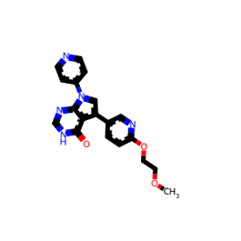 COCCOc1ccc(-c2cn(-c3ccncc3)c3nc[nH]c(=O)c23)cn1